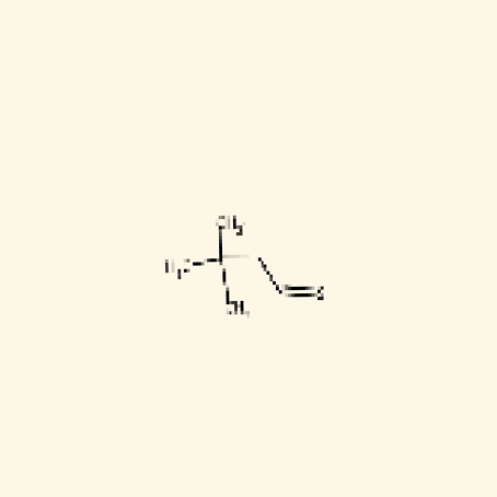 [CH2]C(C)(C)C[C]=S